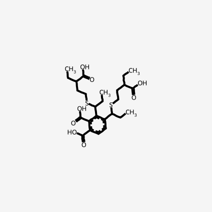 CCC(CCSC(CC)c1ccc(C(=O)O)c(C(=O)O)c1C(CC)SCCC(CC)C(=O)O)C(=O)O